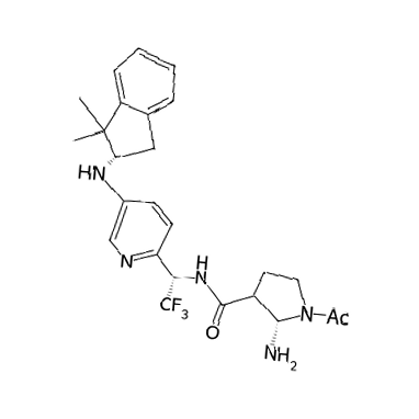 CC(=O)N1CCC(C(=O)N[C@@H](c2ccc(N[C@H]3Cc4ccccc4C3(C)C)cn2)C(F)(F)F)[C@H]1N